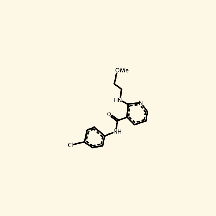 COCCNc1ncccc1C(=O)Nc1ccc(Cl)cc1